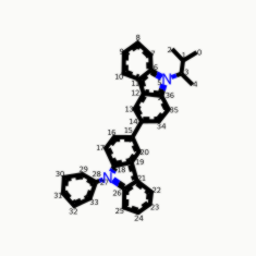 CC(C)C(C)n1c2ccccc2c2cc(-c3ccc4c(c3)c3ccccc3n4-c3ccccc3)ccc21